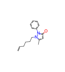 C=CCCCCn1c(C)cc(=O)n1-c1ccccc1